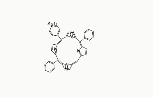 C1=Cc2nc1cc1ccc([nH]1)c(-c1ccccc1)c1nc(c(-c3ccccc3)c3ccc([nH]3)c2-c2ccccc2)C=C1.[Au+3]